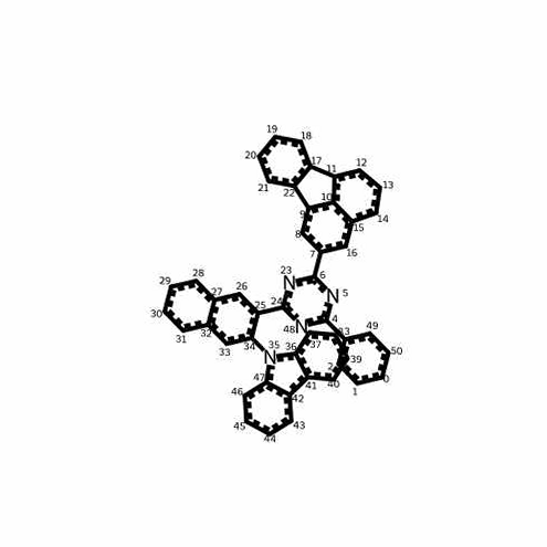 c1ccc(-c2nc(-c3cc4c5c(cccc5c3)-c3ccccc3-4)nc(-c3cc4ccccc4cc3-n3c4ccccc4c4ccccc43)n2)cc1